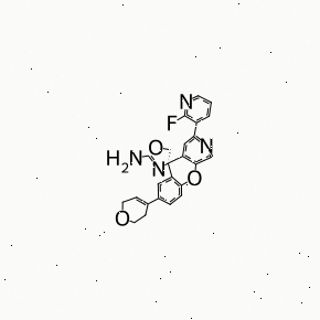 NC1=N[C@]2(CO1)c1cc(C3=CCOCC3)ccc1Oc1cnc(-c3cccnc3F)cc12